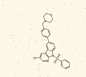 O=S(=O)(c1ccccc1)n1c2ccc(-c3ccc(CN4CCOCC4)cc3)cc2c2cc(Cl)cnc21